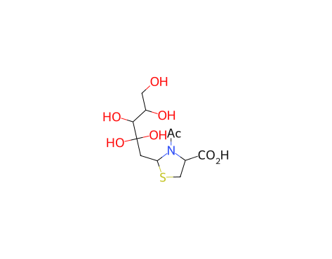 CC(=O)N1C(CC(O)(O)C(O)C(O)CO)SCC1C(=O)O